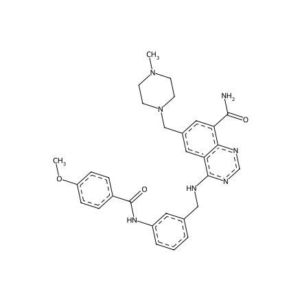 COc1ccc(C(=O)Nc2cccc(CNc3ncnc4c(C(N)=O)cc(CN5CCN(C)CC5)cc34)c2)cc1